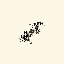 Cc1ccccc1S(=O)(=O)NC(=O)N1CCC2(CCN(Cc3ccccc3OCC(C)C)CC2)CC1